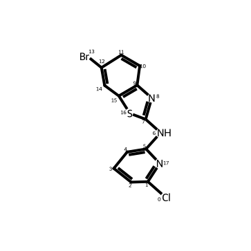 Clc1cccc(Nc2nc3ccc(Br)cc3s2)n1